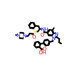 CCCc1nc2c(C)cc(C(=O)NC(CSC(=O)CCN3CCN(C)CC3)Cc3ccccc3)cc2n1Cc1ccc(-c2ccccc2C(=O)O)cc1